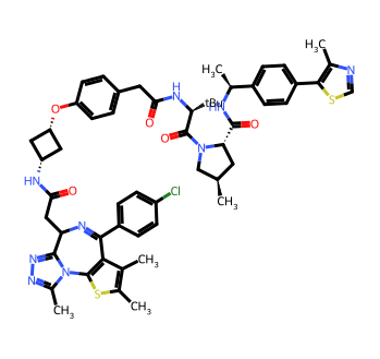 Cc1ncsc1-c1ccc([C@H](C)NC(=O)[C@@H]2C[C@@H](C)CN2C(=O)[C@@H](NC(=O)Cc2ccc(O[C@H]3C[C@@H](NC(=O)CC4N=C(c5ccc(Cl)cc5)c5c(sc(C)c5C)-n5c(C)nnc54)C3)cc2)C(C)(C)C)cc1